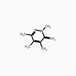 C=C1C(C)=C(C)C(C)=NN1C